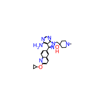 CN1CCC(O)(Cn2nc(-c3ccc4nc(OC5CC5)ccc4c3)c3c(N)ncnc32)CC1